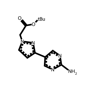 CC(C)(C)OC(=O)Cn1ccc(-c2cnc(N)nc2)n1